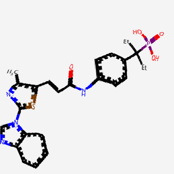 CCC(CC)(c1ccc(NC(=O)C=Cc2sc(-n3cnc4ccccc43)nc2C)cc1)P(=O)(O)O